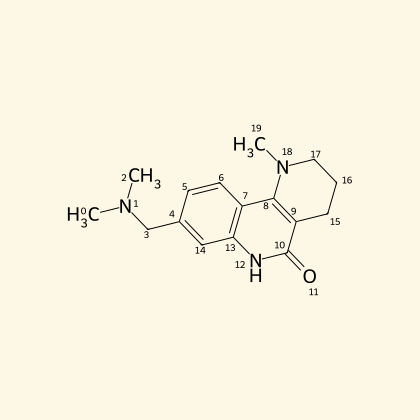 CN(C)Cc1ccc2c3c(c(=O)[nH]c2c1)CCCN3C